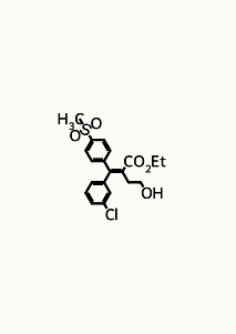 CCOC(=O)/C(CCO)=C(\c1ccc(S(C)(=O)=O)cc1)c1cccc(Cl)c1